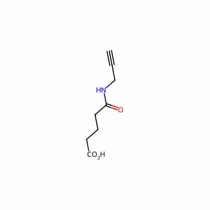 C#CCNC(=O)CCCC(=O)O